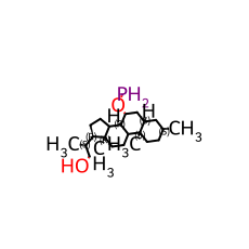 C[C@H]1CC[C@]2(C)C3CC[C@@]4(C)C(CC[C@@H]4[C@H](C)CO)[C@@H]3C(OP)C[C@@H]2C1